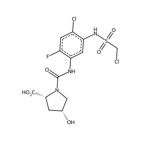 O=C(O)[C@H]1C[C@@H](O)CN1C(=O)Nc1cc(NS(=O)(=O)CCl)c(Cl)cc1F